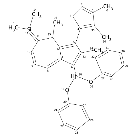 CC1=CCC(C2=C3C(=CC=CC(=[Si](C)C)C3C)[C]([Hf]([O]c3ccccc3)[O]c3ccccc3)=C2C)=C1C